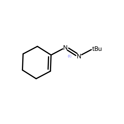 CC(C)(C)/N=N/C1=CCCCC1